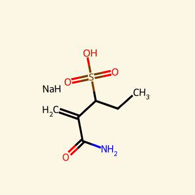 C=C(C(N)=O)C(CC)S(=O)(=O)O.[NaH]